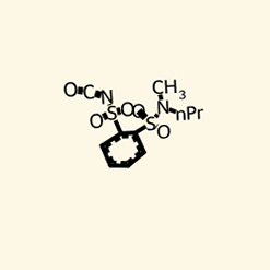 CCCN(C)S(=O)(=O)c1ccccc1S(=O)(=O)N=C=O